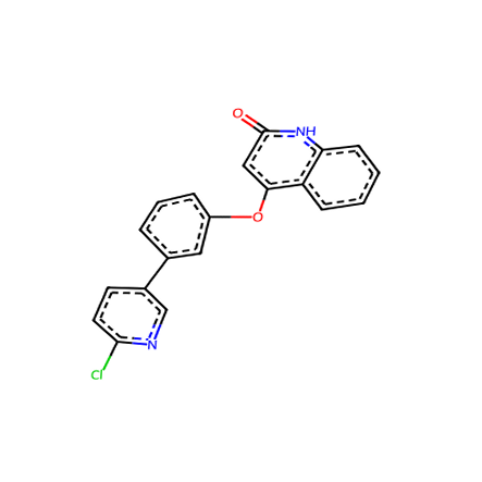 O=c1cc(Oc2cccc(-c3ccc(Cl)nc3)c2)c2ccccc2[nH]1